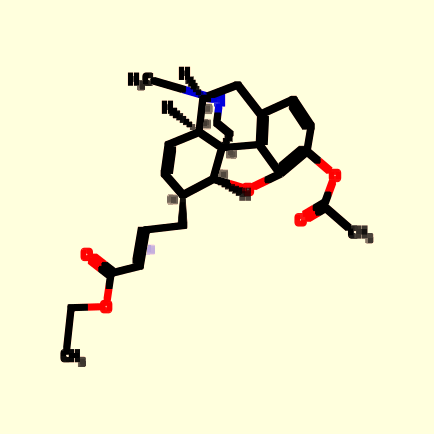 CCOC(=O)/C=C/C[C@H]1C=C[C@H]2[C@H]3Cc4ccc(OC(C)=O)c5c4[C@@]2(CCN3C)[C@H]1O5